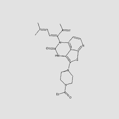 C=C(C)/C(=C\C=C(C)C)N1C(=O)Nc2c(N3CCN(C(=O)CC)CC3)sc3nccc1c23